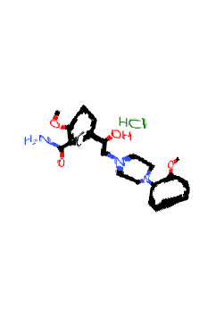 COc1ccc(C(O)CN2CCN(c3ccccc3OC)CC2)cc1C(N)=O.Cl